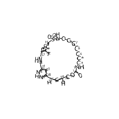 O=C1NCCCCCCCNS(=O)(=O)c2ccc(c(F)c2)Nc2cc([nH]n2)[C@H]2C[C@H](CO1)C2